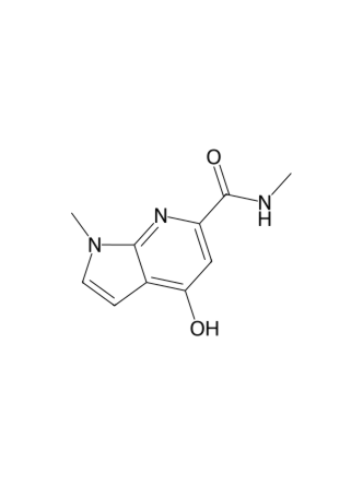 CNC(=O)c1cc(O)c2ccn(C)c2n1